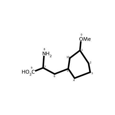 COC1CCCC(CC(N)C(=O)O)C1